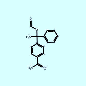 CC(O[C]=O)(c1ccccc1)c1ccc(C(=N)N)cc1